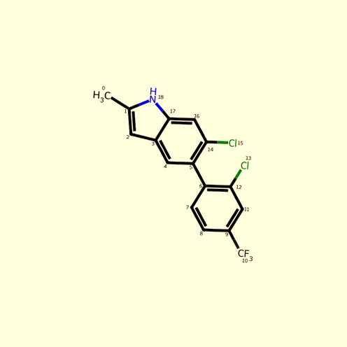 Cc1cc2cc(-c3ccc(C(F)(F)F)cc3Cl)c(Cl)cc2[nH]1